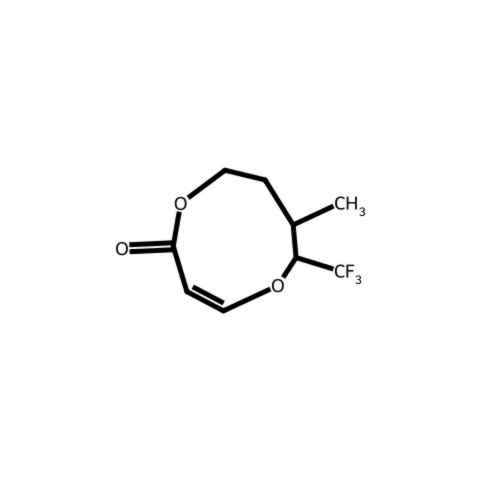 CC1CCOC(=O)C=COC1C(F)(F)F